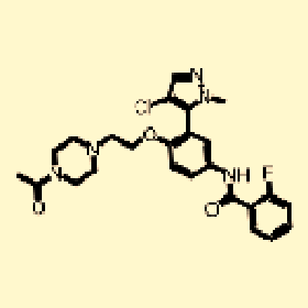 CC(=O)N1CCN(CCOc2ccc(NC(=O)c3ccccc3F)cc2-c2c(Cl)cnn2C)CC1